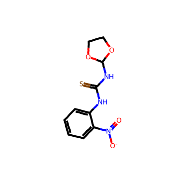 O=[N+]([O-])c1ccccc1NC(=S)NC1OCCO1